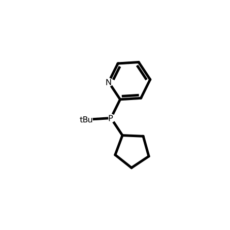 CC(C)(C)P(c1ccccn1)C1CCCC1